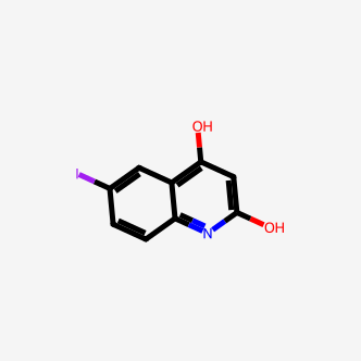 Oc1cc(O)c2cc(I)ccc2n1